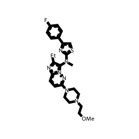 CCc1nc2ccc(N3CCN(CCOC)CC3)nn2c1N(C)c1nc(-c2ccc(F)cc2)cs1